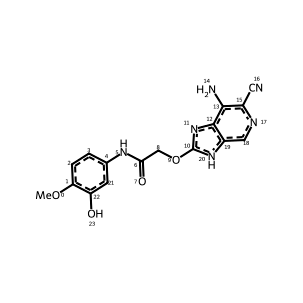 COc1ccc(NC(=O)COc2nc3c(N)c(C#N)ncc3[nH]2)cc1O